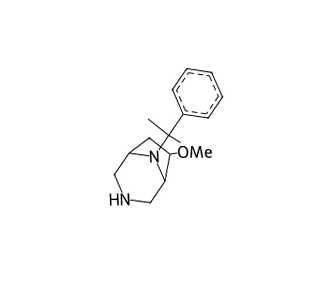 COC1CC2CNCC1N2C(C)(C)c1ccccc1